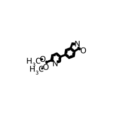 COC(OC)c1ccc(-c2ccc3c(c2)C=NC3=O)cn1